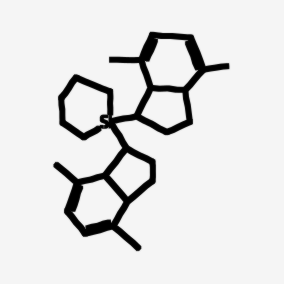 CC1=CC=C(C)C2C1CCC2[Si]1(C2CCC3C(C)=CC=C(C)C32)CCCCC1